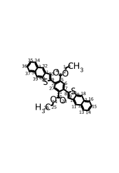 CCOC(=O)c1cc(-c2cc3cc4ccccc4cc3s2)c(C(=O)OCC)cc1-c1cc2cc3ccccc3cc2s1